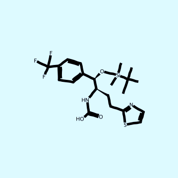 CC(C)(C)[Si](C)(C)O[C@H](c1ccc(C(F)(F)F)cc1)[C@@H](CCc1nccs1)NC(=O)O